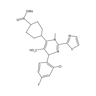 COC(=O)C1CCC(C2=C(C(=O)O)C(c3ccc(F)cc3Cl)N=C(c3nccs3)N2C)CC1